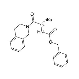 CCC(C)[C@H](NC(=O)OCc1ccccc1)C(=O)N1CCc2ccccc2C1